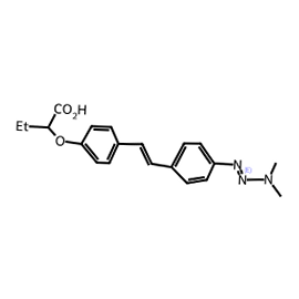 CCC(Oc1ccc(C=Cc2ccc(/N=N/N(C)C)cc2)cc1)C(=O)O